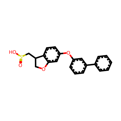 O=S(O)CC1COc2cc(Oc3cccc(-c4ccccc4)c3)ccc21